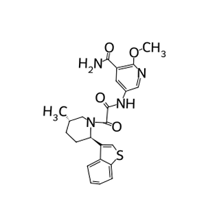 COc1ncc(NC(=O)C(=O)N2C[C@@H](C)CC[C@@H]2c2csc3ccccc23)cc1C(N)=O